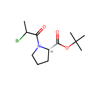 CC(Br)C(=O)N1CCC[C@H]1C(=O)OC(C)(C)C